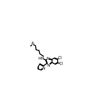 CN(C)CCCCCNc1nc2cc(Cl)c(Cl)cc2nc1-c1ccccn1